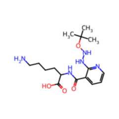 CC(C)(C)ONNc1ncccc1C(=O)NC(CCCCN)C(=O)O